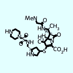 CNCC(=O)N[C@H](C)[C@H]1C(=O)N2C(C(=O)O)=C(SC3CN[C@H](CNS(=O)(=O)N4CCNCC4)C3)C(C)[C@H]12